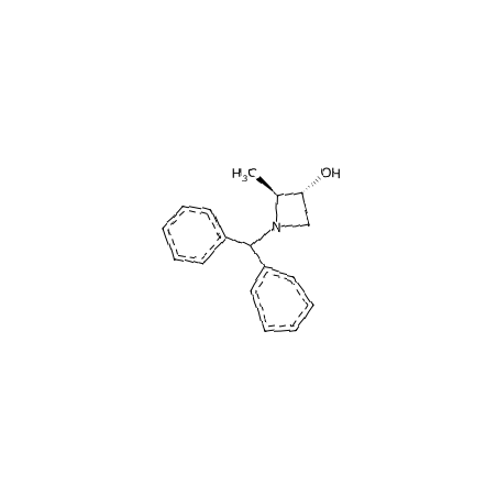 C[C@H]1[C@H](O)CN1C(c1ccccc1)c1ccccc1